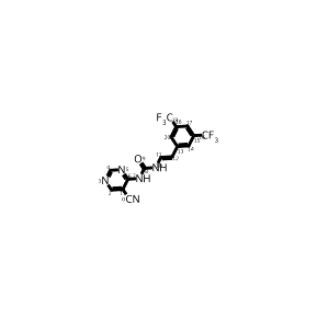 N#Cc1cncnc1NC(=O)N/C=C/c1cc(C(F)(F)F)cc(C(F)(F)F)c1